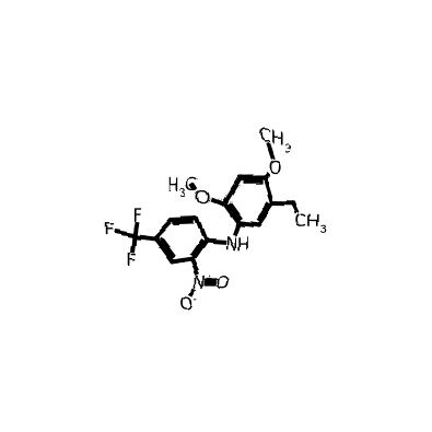 CCc1cc(Nc2ccc(C(F)(F)F)cc2[N+](=O)[O-])c(OC)cc1OC